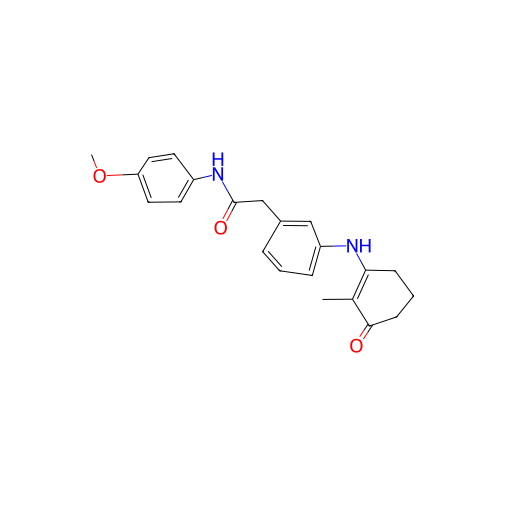 COc1ccc(NC(=O)Cc2cccc(NC3=C(C)C(=O)CCC3)c2)cc1